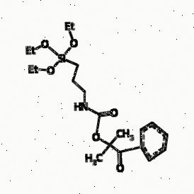 CCO[Si](CCCNC(=O)OC(C)(C)C(=O)c1ccccc1)(OCC)OCC